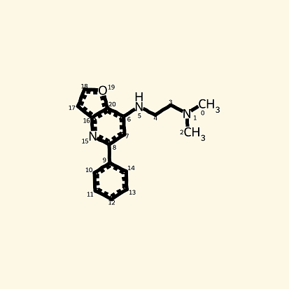 CN(C)CCNc1cc(-c2ccccc2)nc2ccoc12